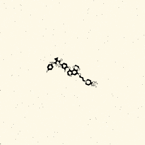 CC1(N)CCN(CCCOc2cc3nccc(Oc4ccc(NC(=O)C5(C(=O)Nc6ccc(F)cc6)CC5)cc4F)c3c3c2OCCO3)CC1